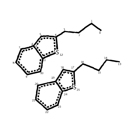 CCCCc1cc2ccccc2s1.CCCCc1cc2ccccc2s1